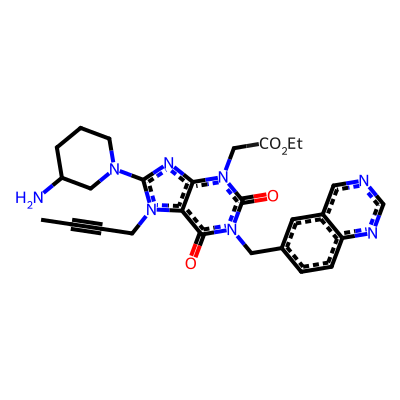 CC#CCn1c(N2CCCC(N)C2)nc2c1c(=O)n(Cc1ccc3ncncc3c1)c(=O)n2CC(=O)OCC